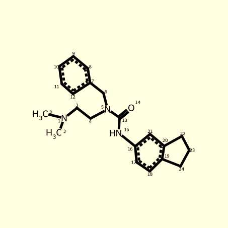 CN(C)CCN(Cc1ccccc1)C(=O)Nc1ccc2c(c1)CCC2